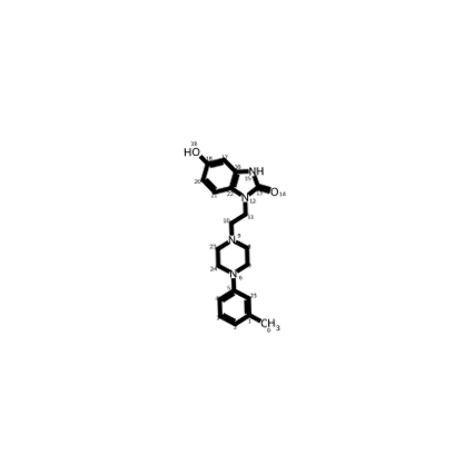 Cc1cccc(N2CCN(CCn3c(=O)[nH]c4cc(O)ccc43)CC2)c1